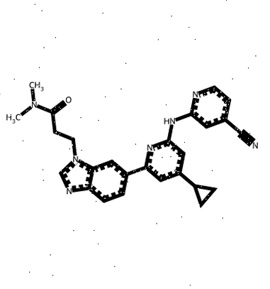 CN(C)C(=O)CCn1cnc2ccc(-c3cc(C4CC4)cc(Nc4cc(C#N)ccn4)n3)cc21